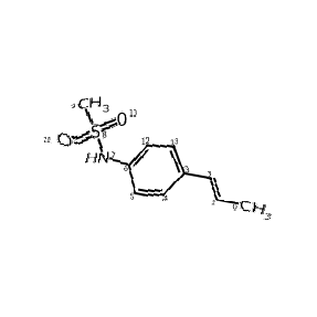 C/C=C/c1ccc(NS(C)(=O)=O)cc1